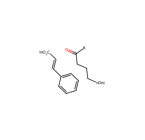 CCCCCCCCCCCCC[C](=O)[K].O=C(O)C=Cc1ccccc1